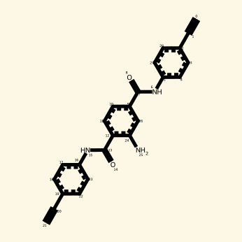 C#Cc1ccc(NC(=O)c2ccc(C(=O)Nc3ccc(C#C)cc3)c(N)c2)cc1